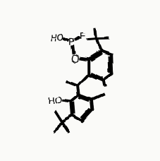 Cc1ccc(C(C)(C)C)c(O)c1C(C)c1c(C)ccc(C(C)(C)C)c1OP(O)F